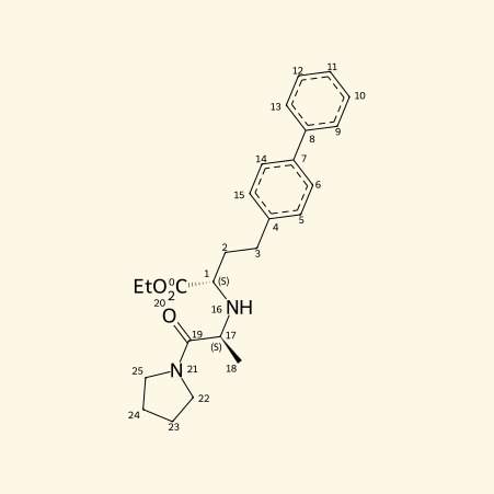 CCOC(=O)[C@H](CCc1ccc(-c2ccccc2)cc1)N[C@@H](C)C(=O)N1CCCC1